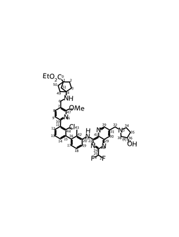 CCOC(=O)C12CCC(NCc3ccc(-c4cccc(-c5cccc(Nc6nc(C(F)F)nc7cc(CN8CC[C@@H](O)C8)cnc67)c5C)c4Cl)nc3OC)(CC1)C2